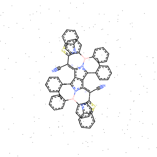 Cc1ccccc1-c1c2/c(=C(\C#N)c3nc4ccccc4s3)n(B(c3ccccc3)c3ccccc3)c(-c3ccccc3C)c2/c(=C(\C#N)c2nc3ccccc3s2)n1B(c1ccccc1)c1ccccc1